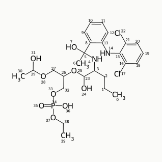 CCCC(NC(C)(O)c1ccccc1Nc1c(Cl)cccc1Cl)C(O)OC(COC(C)O)COP(=O)(O)OCC